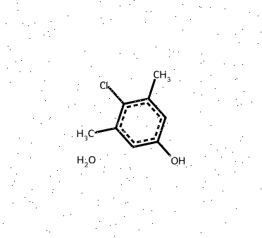 Cc1cc(O)cc(C)c1Cl.O